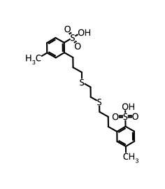 Cc1ccc(S(=O)(=O)O)c(CCCSCCSCCCc2cc(C)ccc2S(=O)(=O)O)c1